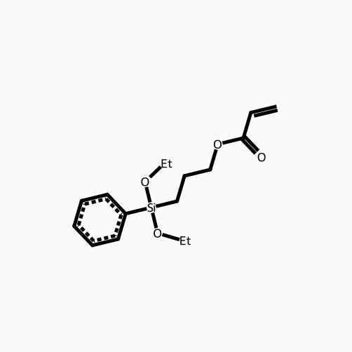 C=CC(=O)OCCC[Si](OCC)(OCC)c1ccccc1